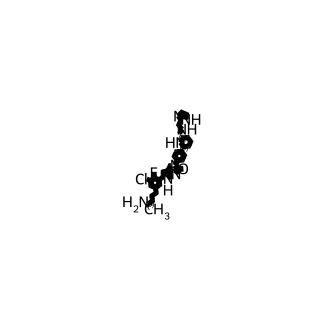 C[C@H](N)CCCc1cc(Cl)c(F)c(-c2cc3cn(-c4ccc([C@@H]5CCC[C@@H](CNCc6ncc[nH]6)N5)cc4)c(=O)nc3[nH]2)c1